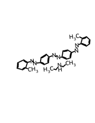 CCNCC.Cc1ccccc1N=Nc1ccc(N=Nc2ccc(N=Nc3ccccc3C)cc2)cc1